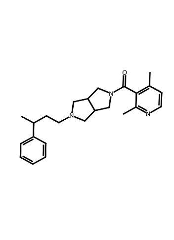 Cc1ccnc(C)c1C(=O)N1CC2CN(CCC(C)c3ccccc3)CC2C1